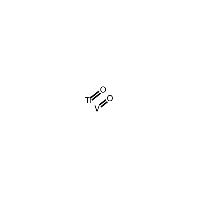 [O]=[Tl].[O]=[V]